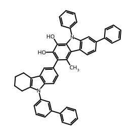 Cc1c(-c2ccc3c(c2)c2c(n3-c3cccc(-c4ccccc4)c3)CCCC2)c(O)c(O)c2c1c1ccc(-c3ccccc3)cc1n2-c1ccccc1